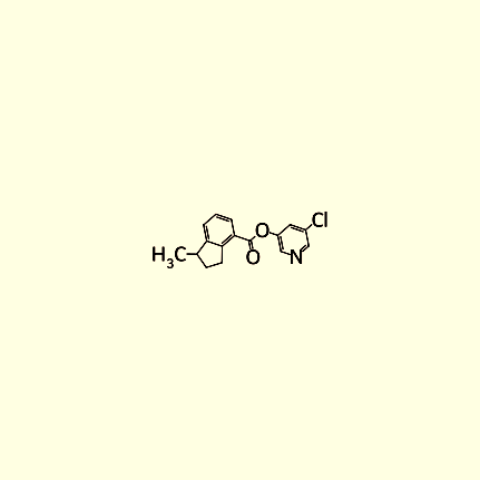 CC1CCc2c(C(=O)Oc3cncc(Cl)c3)cccc21